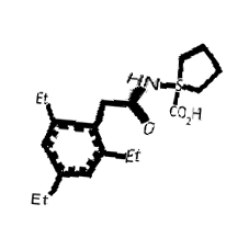 CCc1cc(CC)c(CC(=O)NS2(C(=O)O)CCCC2)c(CC)c1